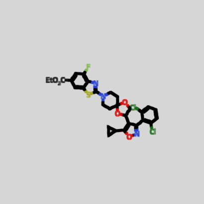 CCOC(=O)c1cc(F)c2nc(N3CCC4(CC3)OCC(c3c(-c5c(Cl)cccc5Cl)noc3C3CC3)O4)sc2c1